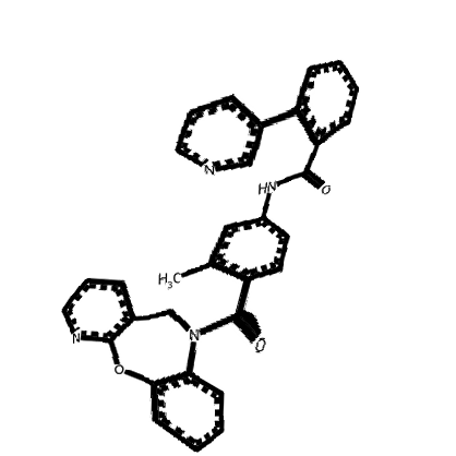 Cc1cc(NC(=O)c2ccccc2-c2cccnc2)ccc1C(=O)N1Cc2cccnc2Oc2ccccc21